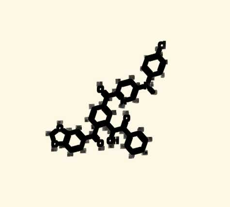 CN(c1ccc(Cl)cc1)c1ccc(C(=O)c2ccc(C(=O)c3ccc4c(c3)OCO4)c(C(O)C(=O)c3ccccc3)c2)nc1